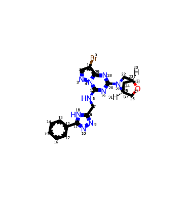 Brc1cnn2c(NCc3nnc(-c4ccccc4)[nH]3)nc(N3C[C@@H]4C[C@H]3CO4)nc12